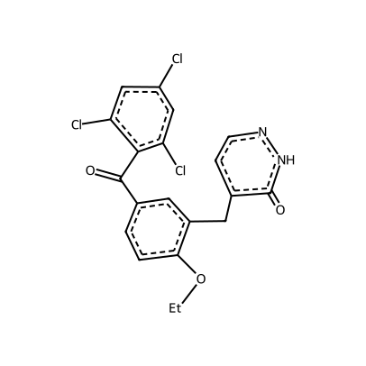 CCOc1ccc(C(=O)c2c(Cl)cc(Cl)cc2Cl)cc1Cc1ccn[nH]c1=O